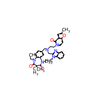 CCN1C(=O)C(C)(C)C(=O)N(C)c2cc(CN(CCn3ccc4oc(C)cc4c3=O)Cc3nc4ccccc4n3C)ccc21